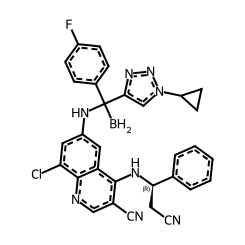 BC(Nc1cc(Cl)c2ncc(C#N)c(N[C@H](CC#N)c3ccccc3)c2c1)(c1ccc(F)cc1)c1cn(C2CC2)nn1